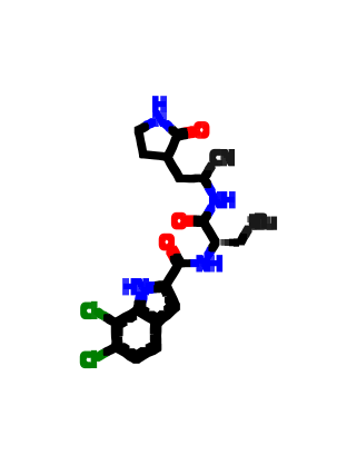 CC(C)(C)C[C@H](NC(=O)c1cc2ccc(Cl)c(Cl)c2[nH]1)C(=O)NC(C#N)CC1CCNC1=O